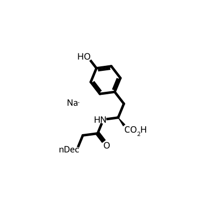 CCCCCCCCCCCC(=O)N[C@@H](Cc1ccc(O)cc1)C(=O)O.[Na]